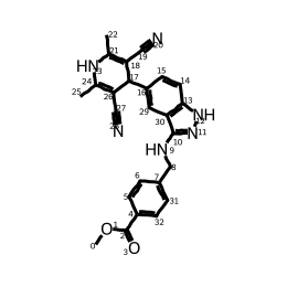 COC(=O)c1ccc(CNc2n[nH]c3ccc(C4C(C#N)=C(C)NC(C)=C4C#N)cc23)cc1